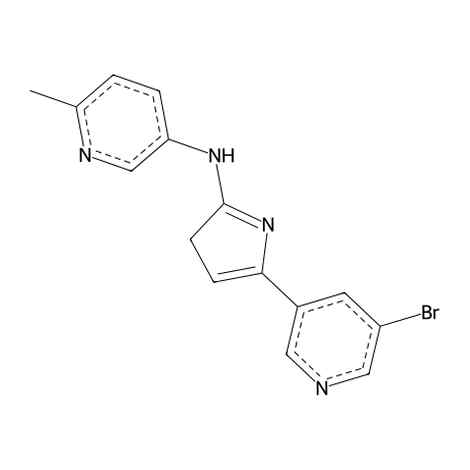 Cc1ccc(NC2=NC(c3cncc(Br)c3)=CC2)cn1